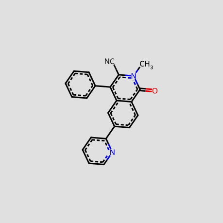 Cn1c(C#N)c(-c2ccccc2)c2cc(-c3ccccn3)ccc2c1=O